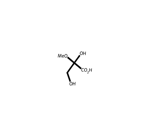 COC(O)(CO)C(=O)O